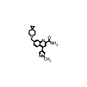 Cn1cc(-c2cc(C(N)=O)nc3cc(CN4CCC5(CC4)CC5)ccc23)cn1